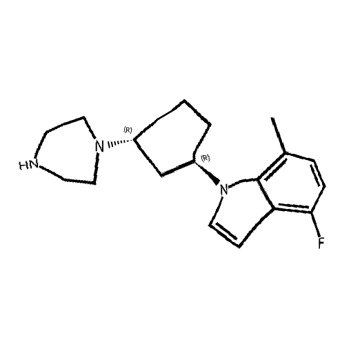 Cc1ccc(F)c2ccn([C@@H]3CCC[C@@H](N4CCNCC4)C3)c12